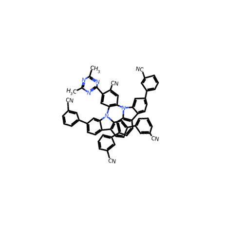 Cc1nc(C)nc(-c2cc(-n3c4cc(-c5cccc(C#N)c5)ccc4c4ccc(-c5cccc(C#N)c5)cc43)c(-n3c4cc(-c5cccc(C#N)c5)ccc4c4ccc(-c5cccc(C#N)c5)cc43)cc2C#N)n1